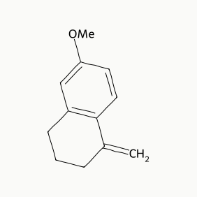 C=C1CCCc2cc(OC)ccc21